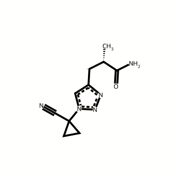 C[C@@H]([CH]c1cn(C2(C#N)CC2)nn1)C(N)=O